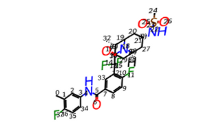 Cc1cc(NC(=O)c2ccc(F)c(C(F)(F)C(=O)N3C4C[C@H](NS(C)(=O)=O)C[C@H]3CC[C@@H]4C)c2)ccc1F